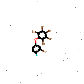 Fc1ccc(Oc2c(Br)c(Br)c(Br)c(Br)c2Br)cc1Br